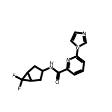 O=C(NC1CC2C(C1)C2(F)F)c1cccc(-n2ccnc2)n1